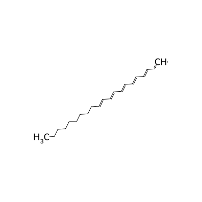 [CH]=CC=CC=CC=CC=CC=CCCCCCCCCC